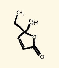 CCC1(O)C=CC(=O)O1